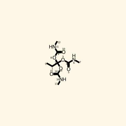 CCC(OC(=O)NC)(OC(=O)NC)OC(=O)NC